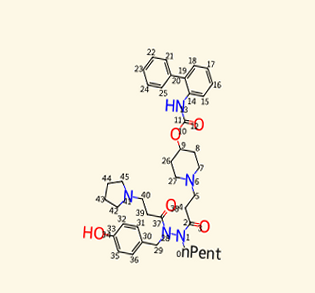 CCCCCN(C(=O)CCN1CCC(OC(=O)Nc2ccccc2-c2ccccc2)CC1)N(Cc1ccc(O)cc1)C(=O)CCN1CCCC1